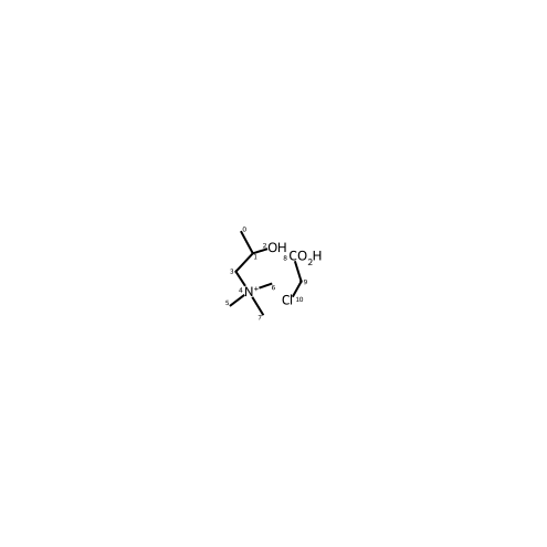 CC(O)C[N+](C)(C)C.O=C(O)CCl